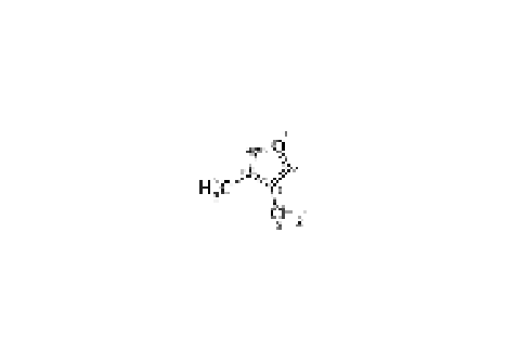 [CH2]c1cocc1C